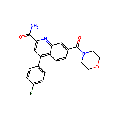 NC(=O)c1cc(-c2ccc(F)cc2)c2ccc(C(=O)N3CCOCC3)cc2n1